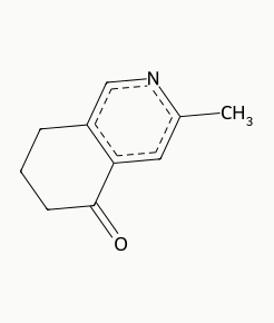 Cc1cc2c(cn1)CCCC2=O